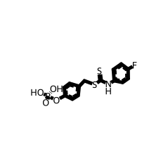 O=P(O)(O)Oc1ccc(CSC(=S)Nc2ccc(F)cc2)cc1